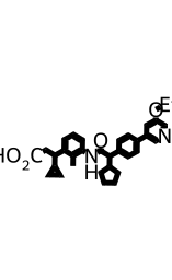 CCOc1cncc(-c2ccc(C(C(=O)Nc3cccc(C(CC(=O)O)C4CC4)c3C)C3CCCC3)cc2)c1